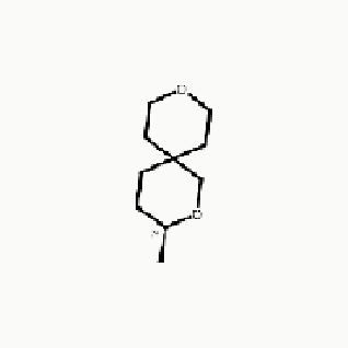 C[C@H]1CCC2(CCOCC2)CO1